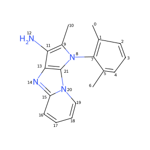 Cc1cccc(C)c1-n1c(C)c(N)c2nc3ccccn3c21